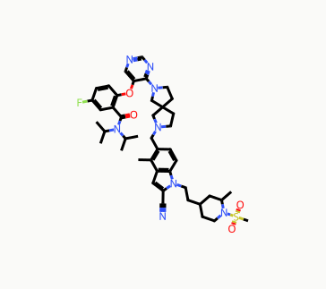 Cc1c(CN2CCC3(CCN(c4ncncc4Oc4ccc(F)cc4C(=O)N(C(C)C)C(C)C)C3)C2)ccc2c1cc(C#N)n2CCC1CCN(S(C)(=O)=O)C(C)C1